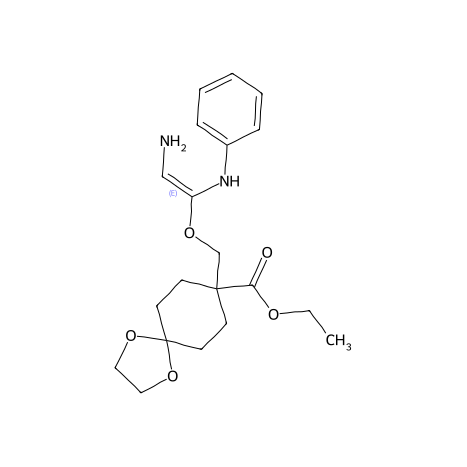 CCOC(=O)C1(CO/C(=C/N)Nc2ccccc2)CCC2(CC1)OCCO2